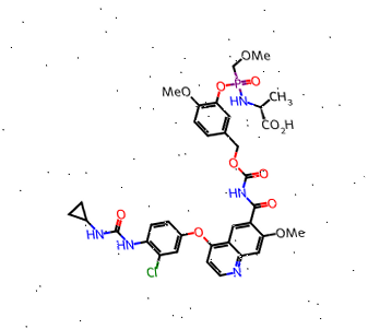 COCP(=O)(N[C@@H](C)C(=O)O)Oc1cc(COC(=O)NC(=O)c2cc3c(Oc4ccc(NC(=O)NC5CC5)c(Cl)c4)ccnc3cc2OC)ccc1OC